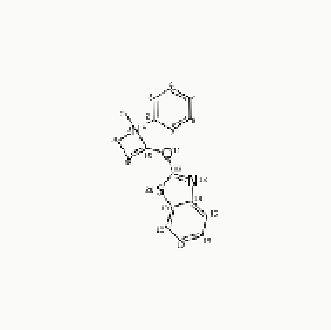 C[N+]1(c2ccccc2)CC=C1Oc1nc2ccccc2s1